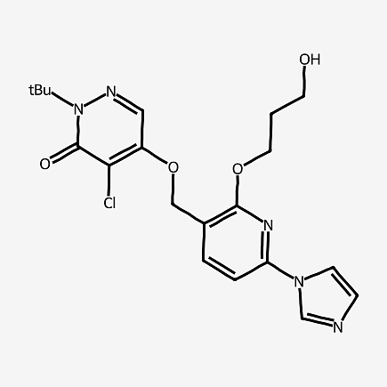 CC(C)(C)n1ncc(OCc2ccc(-n3ccnc3)nc2OCCCO)c(Cl)c1=O